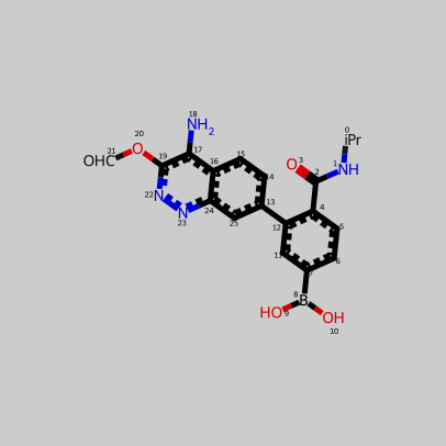 CC(C)NC(=O)c1ccc(B(O)O)cc1-c1ccc2c(N)c(OC=O)nnc2c1